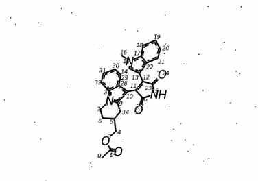 CC(=O)OCC1CCn2c(c(C3=C(c4cn(C)c5ccccc45)C(=O)NC3=O)c3ccccc32)C1